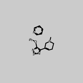 CC(C)Oc1nsnc1C1=CCCN(C)C1.c1ccncc1